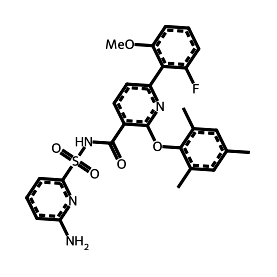 COc1cccc(F)c1-c1ccc(C(=O)NS(=O)(=O)c2cccc(N)n2)c(Oc2c(C)cc(C)cc2C)n1